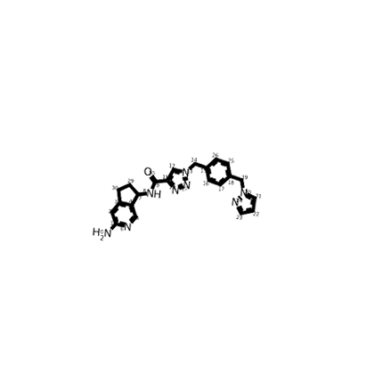 Nc1cc2c(cn1)C(NC(=O)c1cn(Cc3ccc(Cn4cccn4)cc3)nn1)CC2